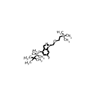 CC(C)(C)[Si](C)(C)Oc1cc(F)cc2c1cnn2COCC[Si](C)(C)C